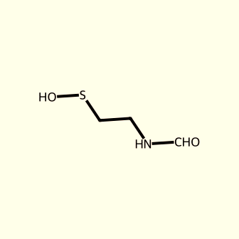 O=CNCCSO